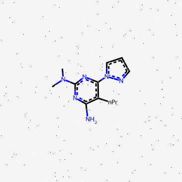 CCCc1c(N)nc(N(C)C)nc1-n1cccn1